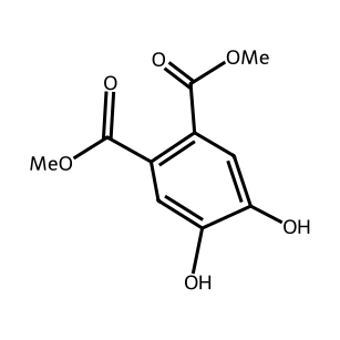 COC(=O)c1cc(O)c(O)cc1C(=O)OC